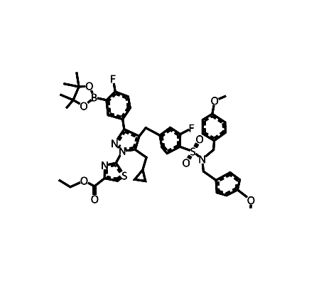 CCOC(=O)c1csc(-n2nc(-c3ccc(F)c(B4OC(C)(C)C(C)(C)O4)c3)c(Cc3ccc(S(=O)(=O)N(Cc4ccc(OC)cc4)Cc4ccc(OC)cc4)c(F)c3)c2CC2CC2)n1